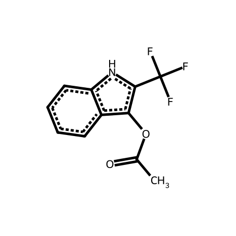 CC(=O)Oc1c(C(F)(F)F)[nH]c2ccccc12